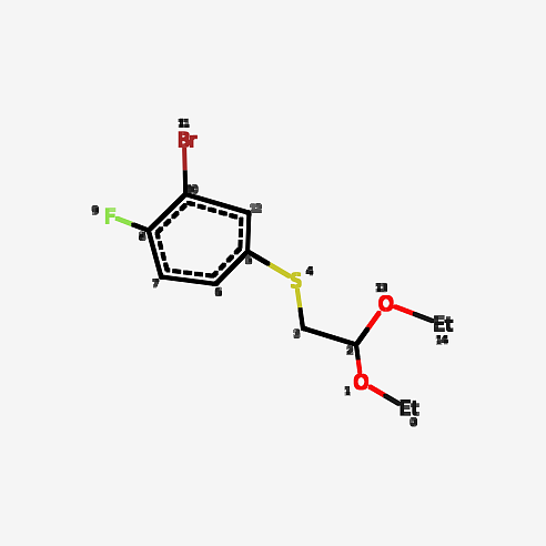 CCOC(CSc1ccc(F)c(Br)c1)OCC